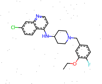 CCOc1cc(CN2CCC(Nc3ccnc4cc(Cl)ccc34)CC2)ccc1F